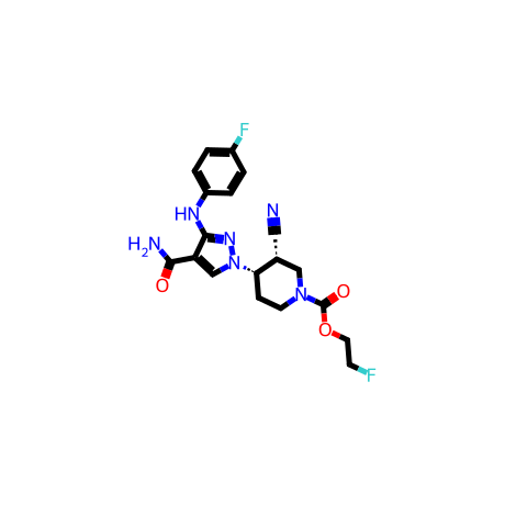 N#C[C@@H]1CN(C(=O)OCCF)CC[C@@H]1n1cc(C(N)=O)c(Nc2ccc(F)cc2)n1